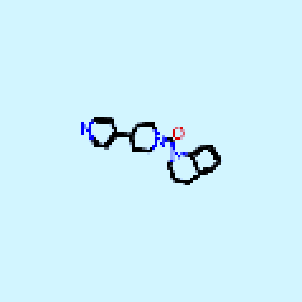 O=C(N1CCC(c2ccncc2)CC1)N1CCCc2ccccc21